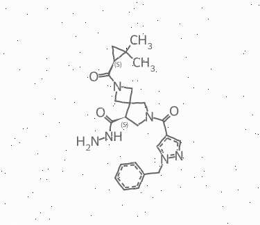 CC1(C)C[C@@H]1C(=O)N1CC2(CN(C(=O)c3cnn(Cc4ccccc4)c3)C[C@H]2C(=O)NN)C1